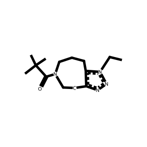 CCn1nnc2c1CCCN(C(=O)C(C)(C)C)CC2